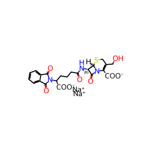 O=C(CCCC(C(=O)[O-])N1C(=O)c2ccccc2C1=O)N[C@@H]1C(=O)N2C(C(=O)[O-])=C(CO)CS[C@@H]12.[Na+].[Na+]